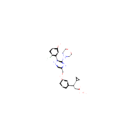 COc1ccc(F)c(-c2ncc(COc3cccc(C(CC(=O)O)C4CC4)c3)nc2N2CCOCC2)c1